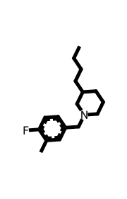 CCCCC1CCCN(Cc2ccc(F)c(C)c2)C1